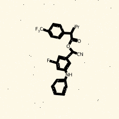 CC(C)C(C(=O)OC(C#N)c1cc(F)cc(Nc2ccccc2)c1)c1ccc(C(F)(F)F)cc1